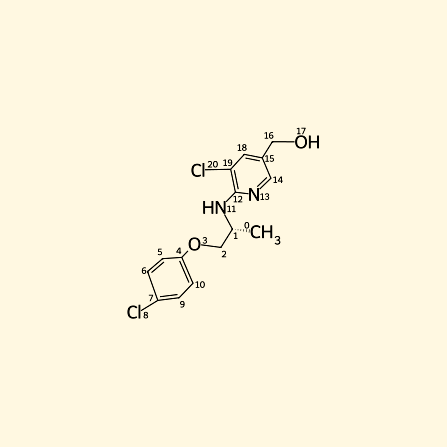 C[C@H](COc1ccc(Cl)cc1)Nc1ncc(CO)cc1Cl